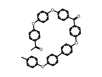 CC(=O)c1ccc(Oc2ccc(Oc3ccc(C(=O)c4ccc(Oc5ccc(-c6ccc(Oc7ccc(C)cc7)cc6)cc5)cc4)cc3)cc2)cc1